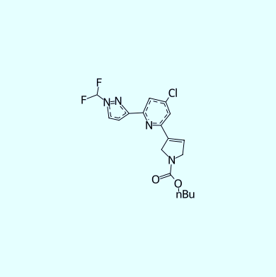 CCCCOC(=O)N1CC=C(c2cc(Cl)cc(-c3ccn(C(F)F)n3)n2)C1